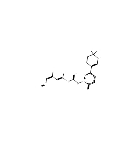 C=N/C=C(\C=C(/C)NC(=O)Cn1nc(C2=CCC(F)(F)CC2)ccc1=O)C(F)(F)F